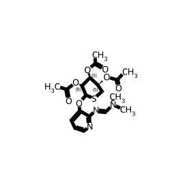 CC(=O)O[C@H]1[C@H](OC(C)=O)CSC(Oc2cccnc2N=CN(C)C)[C@@H]1OC(C)=O